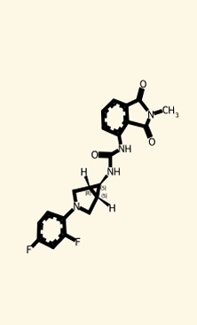 CN1C(=O)c2cccc(NC(=O)N[C@H]3[C@@H]4CN(c5ccc(F)cc5F)C[C@@H]43)c2C1=O